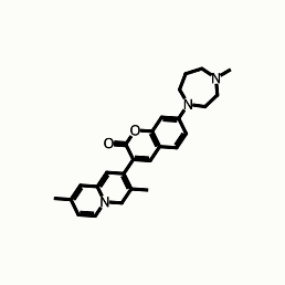 CC1=CC2=CC(c3cc4ccc(N5CCCN(C)CC5)cc4oc3=O)=C(C)CN2C=C1